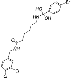 O=C(CCCCCNC(O)(O)c1ccc(Br)cc1)NCc1ccc(Cl)c(Cl)c1